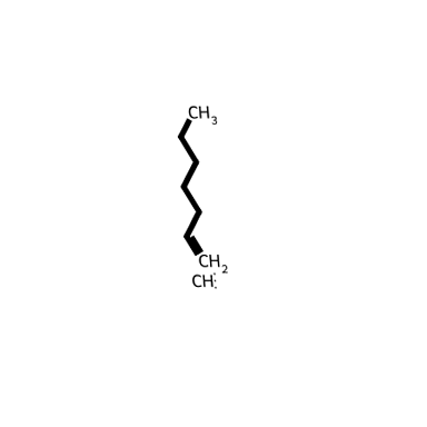 C=CCCCCC.[CH]